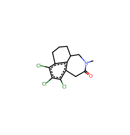 CN1CC2CCCc3c(Cl)c(Cl)c(Cl)c(c32)CC1=O